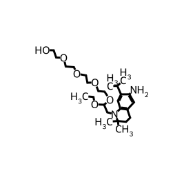 CCOC(CN1c2cc(C(C)C)c(N)cc2CCC1(C)C)OCCOCCOCCOCCO